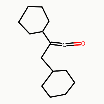 O=C=C(CC1CCCCC1)C1CCCCC1